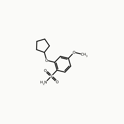 COc1ccc(S(N)(=O)=O)c(OC2CCCC2)c1